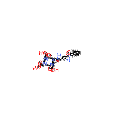 CC(=O)C(Cc1ccc2ccccc2c1)NC(=O)C1CCC(CNC(=O)CN2CCN(CC(=O)O)CCN(CC(=O)O)CCN(CC(=O)O)CC2)CC1